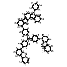 C1=CC2Sc3c(-c4ccc(N(c5ccc(-c6cccc7c6sc6ccccc67)cc5)c5ccc(-c6cccc7c6sc6c7ccc7c6c6ccccc6n7-c6ccccc6)cc5)cc4)cccc3C2C=C1